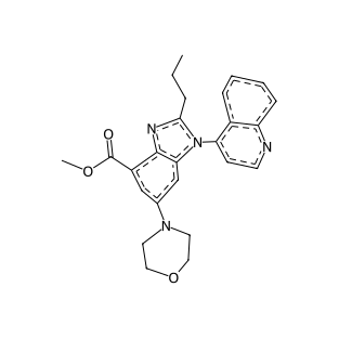 CCCc1nc2c(C(=O)OC)cc(N3CCOCC3)cc2n1-c1ccnc2ccccc12